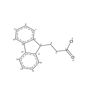 O=C(Cl)CCC1c2ccccc2-c2ccccc21